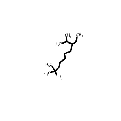 CCC(CCCCCC(C)(C)C)C(C)C